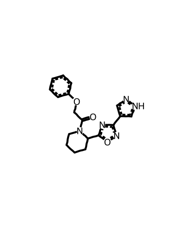 O=C(COc1ccccc1)N1CCCCC1c1nc(-c2cn[nH]c2)no1